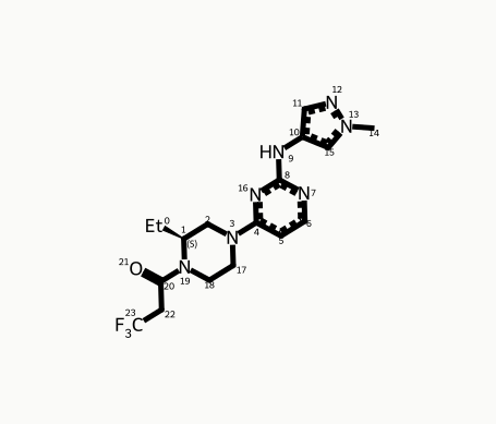 CC[C@H]1CN(c2ccnc(Nc3cnn(C)c3)n2)CCN1C(=O)CC(F)(F)F